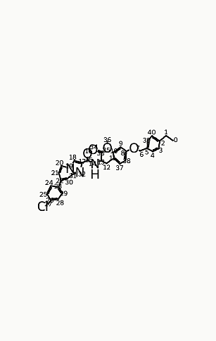 CCc1ccc(COc2ccc(CC(NC(=O)c3cn4ccc(-c5ccc(Cl)cc5)cc4n3)C(=O)OC)cc2)cc1